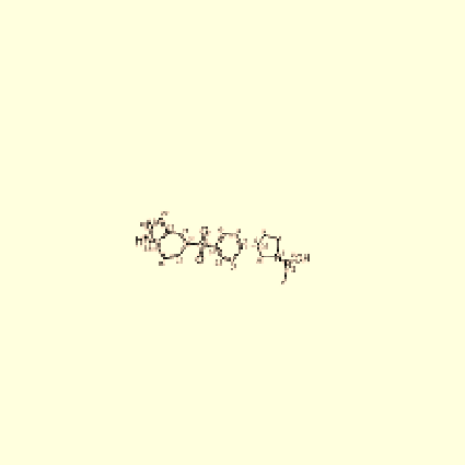 CB(O)N1CC[C@@H](c2ccc(S(=O)(=O)c3ccc4[nH]ncc4c3)cc2)C1